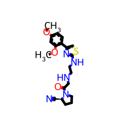 COc1ccc(-c2csc(NCCNCC(=O)N3CCC[C@H]3C#N)n2)c(OC)c1